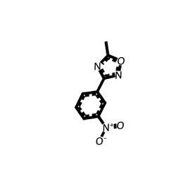 Cc1nc(-c2cccc([N+](=O)[O-])c2)no1